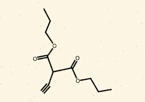 C#CC(C(=O)OCCC)C(=O)OCCC